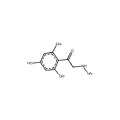 CCCNCC(=O)c1c(O)cc(O)cc1O